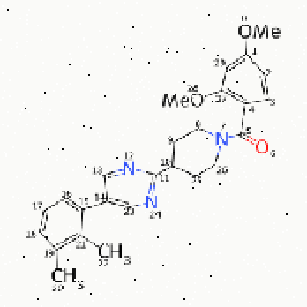 COc1ccc(C(=O)N2CCC(c3ncc(-c4cccc(C)c4C)cn3)CC2)c(OC)c1